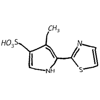 Cc1c(S(=O)(=O)O)c[nH]c1-c1nccs1